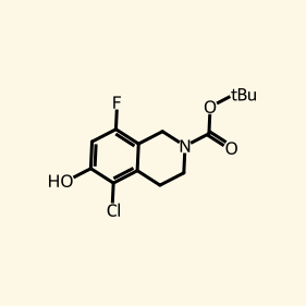 CC(C)(C)OC(=O)N1CCc2c(Cl)c(O)cc(F)c2C1